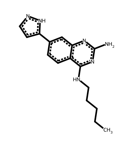 CCCCCNc1nc(N)nc2cc(-c3ccn[nH]3)ccc12